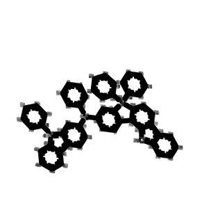 c1ccc(N(c2ccc3c(c2)[Si](c2ccccc2)(c2ccccc2)c2ccc4c(oc5ccccc54)c2-3)c2ccc3c4ccccc4n(-c4ccccc4)c3c2)cc1